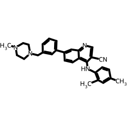 Cc1ccc(Nc2c(C#N)cnc3cc(-c4cccc(CN5CCN(C)CC5)c4)ccc23)c(C)c1